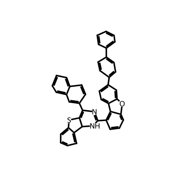 c1ccc(-c2ccc(-c3ccc4c(c3)oc3cccc(C5=NC(c6ccc7ccccc7c6)=C6Sc7ccccc7C6N5)c34)cc2)cc1